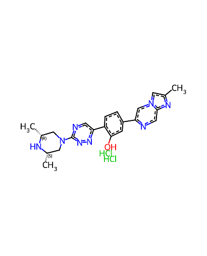 Cc1cn2cc(-c3ccc(-c4cnc(N5C[C@@H](C)N[C@@H](C)C5)nn4)c(O)c3)ncc2n1.Cl.Cl